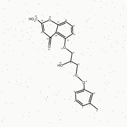 Cc1cccc(OOCC(O)COc2cccc3oc(C(=O)O)cc(=O)c23)c1